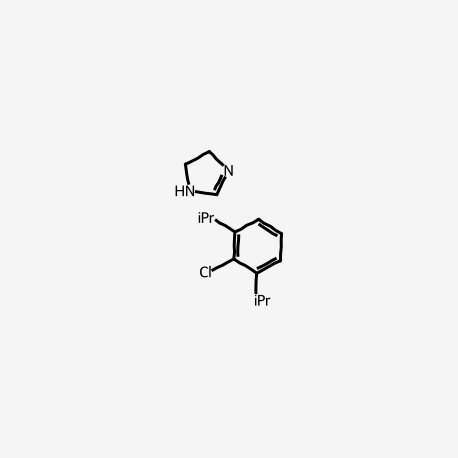 C1=NCCN1.CC(C)c1cccc(C(C)C)c1Cl